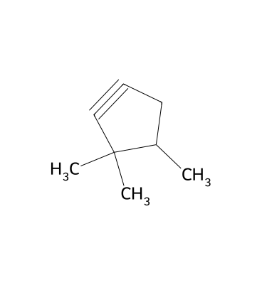 CC1CC#CC1(C)C